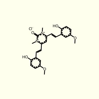 COc1ccc(O)c(C=Cc2cc(C=Cc3cc(OC)ccc3O)[n+](C)c(=O)n2C)c1.[Cl-]